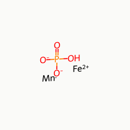 O=P([O-])([O-])O.[Fe+2].[Mn]